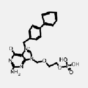 Nc1nc([O-])c2c(n1)n(COCCOP(=O)(O)O)c[n+]2Cc1ccc(-c2ccccc2)cc1